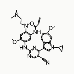 C=CC(=O)Nc1cc(Nc2ncc(C#N)c(-c3cn(C4CC4)c4cc(OC)ccc34)n2)c(OC)cc1N(C)CCN(C)C